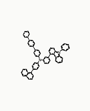 c1ccc(-c2ccc(-c3ccc(N(c4ccc(-c5cccc6ccccc56)cc4)c4cccc(-c5cccc6c5c5ccccc5n6-c5ccccc5)c4)cc3)cc2)cc1